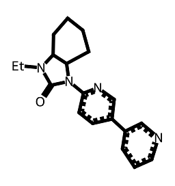 CCN1C(=O)N(c2ccc(-c3cccnc3)cn2)C2CCCCC21